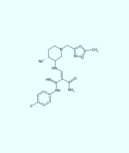 Cc1cc(CN2CC[C@@H](C#N)C(N/C=C(\C(=N)Nc3ccc(F)cc3)C(N)=O)C2)no1